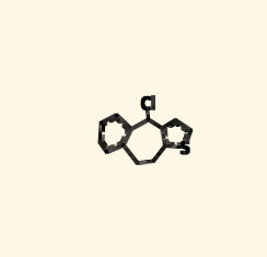 ClC1c2ccccc2CCc2sccc21